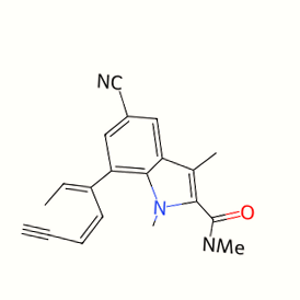 C#C/C=C\C(=C/C)c1cc(C#N)cc2c(C)c(C(=O)NC)n(C)c12